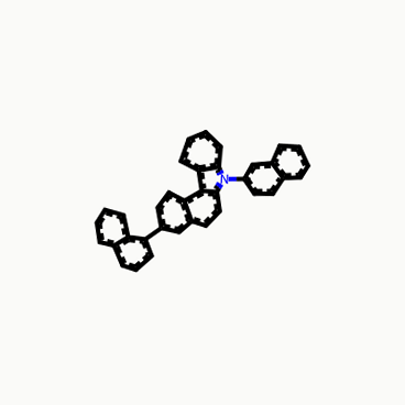 c1ccc2cc(-n3c4ccccc4c4c5ccc(-c6cccc7ccccc67)cc5ccc43)ccc2c1